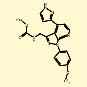 CC(C)(C)OC(=O)NCc1nn(-c2ccc(OC(F)(F)F)cc2)c2nccc(-c3cc[nH]n3)c12